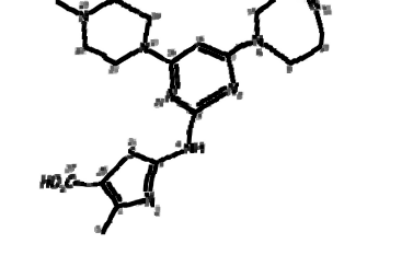 Cc1nc(Nc2nc(N3CCN(C)CC3)cc(N3CCN(C)CC3)n2)sc1C(=O)O